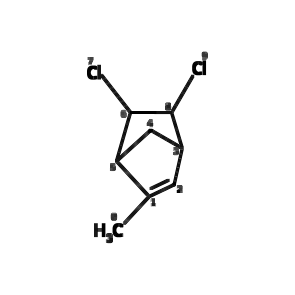 CC1=CC2CC1C(Cl)C2Cl